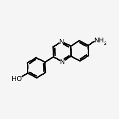 Nc1ccc2nc(-c3ccc(O)cc3)cnc2c1